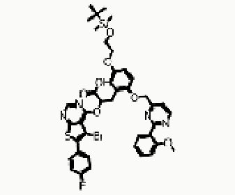 COc1ccccc1-c1nccc(COc2ccc(OCCO[Si](C)(C)C(C)(C)C)cc2CC(Oc2ncnc3sc(-c4ccc(F)cc4)c(Br)c23)C(=O)O)n1